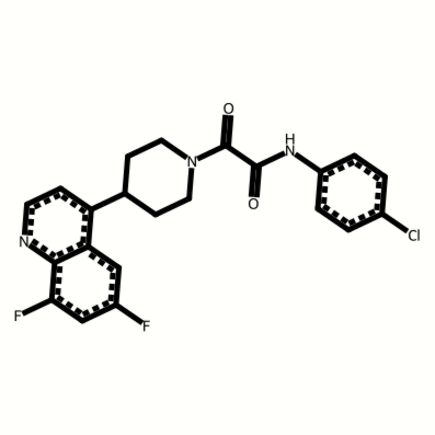 O=C(Nc1ccc(Cl)cc1)C(=O)N1CCC(c2ccnc3c(F)cc(F)cc23)CC1